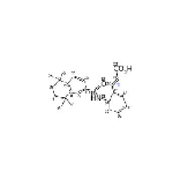 CC1(C)CCC(C)(C)c2cc(C(=O)Nc3ccccc3/C=C/C(=O)O)ccc21